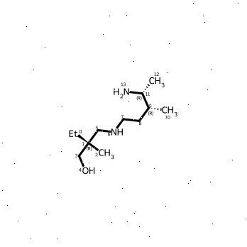 CC[C@@](C)(CO)CNCC[C@@H](C)[C@@H](C)N